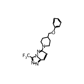 FC(F)(F)c1nnc2ccc(N3CCC(COc4ccccc4)CC3)nn12